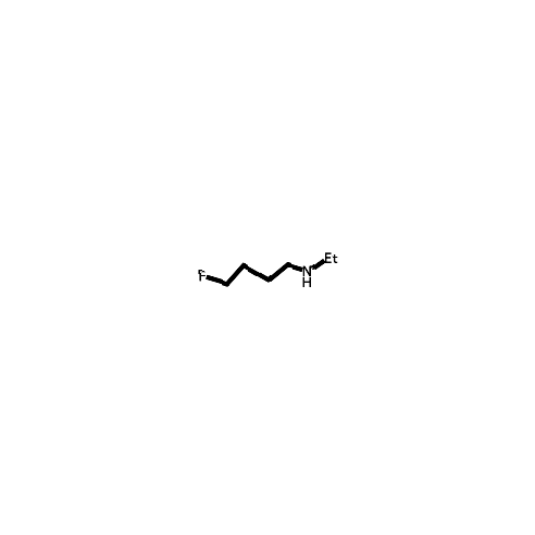 CCNCCCCF